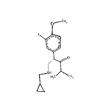 COc1ccc([C@@H](CNCC2CC2)C(=O)C(C)C)cc1F